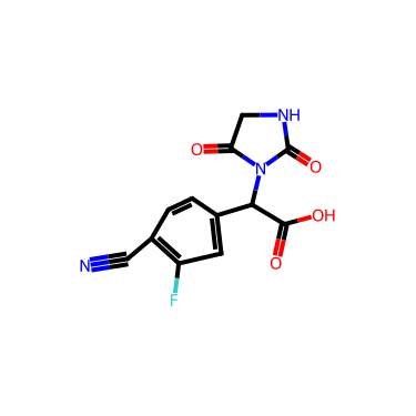 N#Cc1ccc(C(C(=O)O)N2C(=O)CNC2=O)cc1F